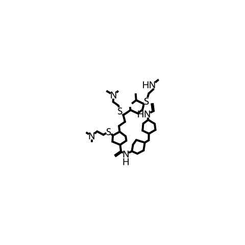 C=CNC1CCC(CC2CCC(NC(=C)C3CCC(CCC(SCCN(C)C)C(C)CCC(SCCNC)C(C)C)C(SCCN(C)C)C3)CC2)CC1